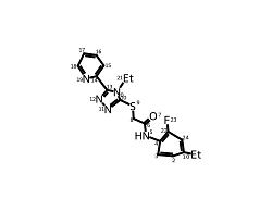 CCc1ccc(NC(=O)CSc2nnc(-c3ccccn3)n2CC)c(F)c1